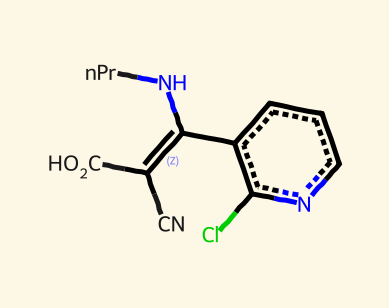 CCCN/C(=C(/C#N)C(=O)O)c1cccnc1Cl